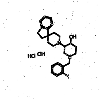 Cl.Cl.OC1CCN(Cc2ccccc2I)CC1N1CCC2(CCc3ccccc32)CC1